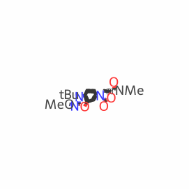 CNC(=O)[C@H]1CN(c2ccc3c(c2)oc(=NOC)n3C(C)(C)C)C(=O)O1